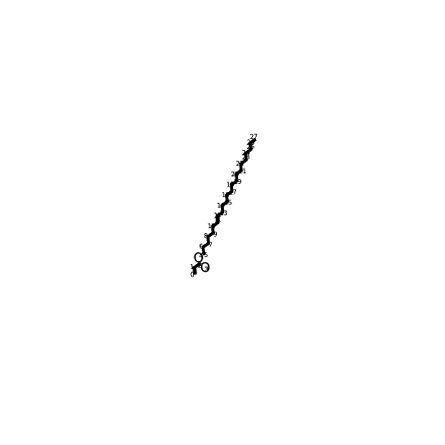 C=CC(=O)OCCCCCCCCCCCCCCCCCCCCCCC